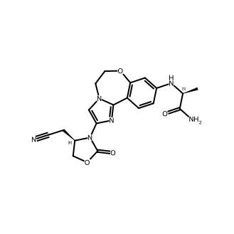 C[C@H](Nc1ccc2c(c1)OCCn1cc(N3C(=O)OC[C@H]3CC#N)nc1-2)C(N)=O